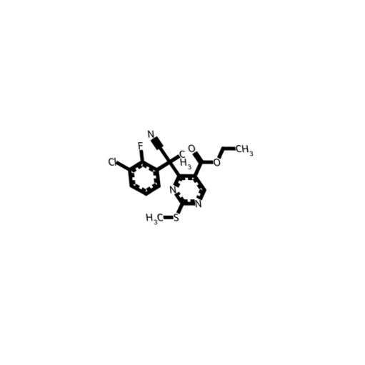 CCOC(=O)c1cnc(SC)nc1C(C)(C#N)c1cccc(Cl)c1F